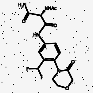 CC(=O)N[C@H](C(N)=O)C(=O)Nc1ccc(N2CCOCC2=O)c(C(F)F)c1